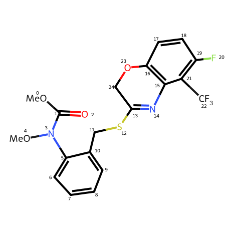 COC(=O)N(OC)c1ccccc1CSC1=Nc2c(ccc(F)c2C(F)(F)F)OC1